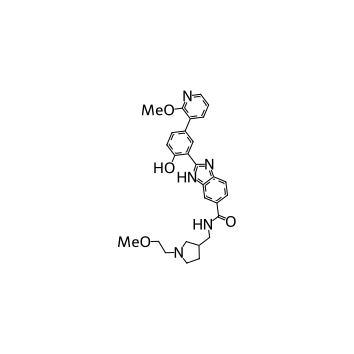 COCCN1CCC(CNC(=O)c2ccc3nc(-c4cc(-c5cccnc5OC)ccc4O)[nH]c3c2)C1